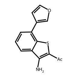 CC(=O)c1sc2c(-c3ccoc3)cccc2c1N